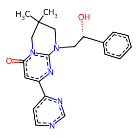 CC1(C)CN(C[C@H](O)c2ccccc2)c2nc(-c3ccncn3)cc(=O)n2C1